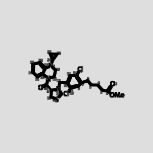 COC(=O)CCCCc1cc(Cl)c(CN2CSC[C@H]2C(=O)N2CCN(C3CC3)c3ccccc32)cc1Cl